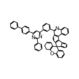 C1=CC2=C(CC1)Oc1ccccc1C21c2ccccc2-c2c1ccc1c(-c3cccc(-c4cc(-c5ccc(-c6ccccc6)cc5)nc(-c5ccccc5)n4)c3)nc3ccccc3c21